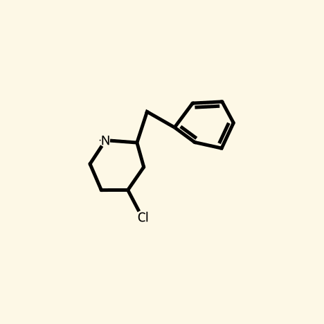 ClC1CC[N]C(Cc2ccccc2)C1